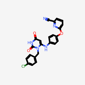 N#Cc1cccc(Oc2ccc(Nc3cc(=O)[nH]c(=O)n3Cc3ccc(Cl)cc3)cc2)n1